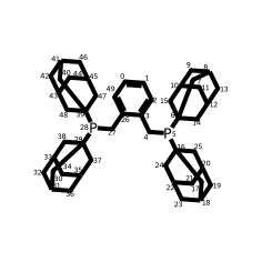 c1ccc(CP(C23CC4CC(CC(C4)C2)C3)C23CC4CC(CC(C4)C2)C3)c(CP(C23CC4CC(CC(C4)C2)C3)C23CC4CC(CC(C4)C2)C3)c1